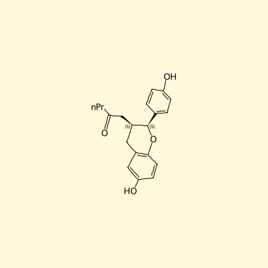 CCCC(=O)C[C@@H]1Cc2cc(O)ccc2O[C@@H]1c1ccc(O)cc1